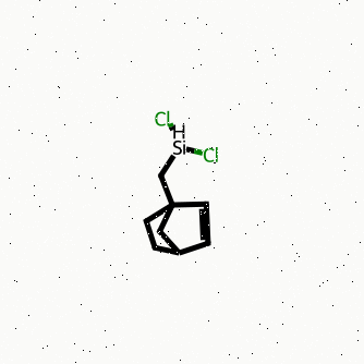 Cl[SiH](Cl)CC12C=CC(CC1)C2